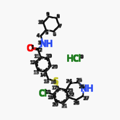 Cl.O=C(NCC1CCCCC1)c1ccc(CSc2c(Cl)ccc3c2CCNCC3)cc1